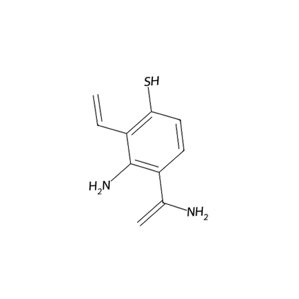 C=Cc1c(S)ccc(C(=C)N)c1N